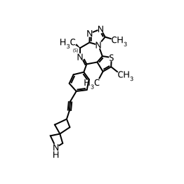 Cc1sc2c(c1C)C(c1ccc(C#CC3CC4(CNC4)C3)cc1)=N[C@@H](C)c1nnc(C)n1-2